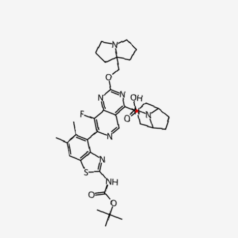 Cc1cc2sc(NC(=O)OC(C)(C)C)nc2c(-c2ncc3c(N4CC5CCC(C4)N5C(=O)O)nc(OCC45CCCN4CCC5)nc3c2F)c1C